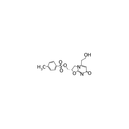 Cc1ccc(S(=O)(=O)OC[C@@H]2Cn3c(CCO)cc(=O)nc3O2)cc1